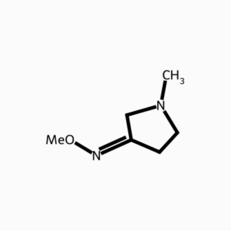 CON=C1CCN(C)C1